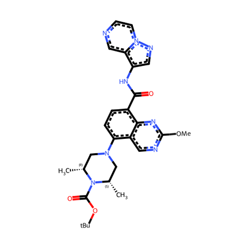 COc1ncc2c(N3C[C@@H](C)N(C(=O)OC(C)(C)C)[C@@H](C)C3)ccc(C(=O)Nc3cnn4ccncc34)c2n1